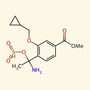 COC(=O)c1ccc(C(C)(N)O[SH](=O)=O)c(OCC2CC2)c1